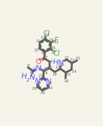 C/C(N)=N/C(=C(\CC(=O)c1ccc(Cl)c(F)c1Cl)CC1NCC(C)CC1C)c1ncccn1